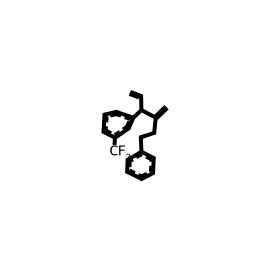 C=CC(C(=C)CCc1ccccc1)c1cccc(C(F)(F)F)c1